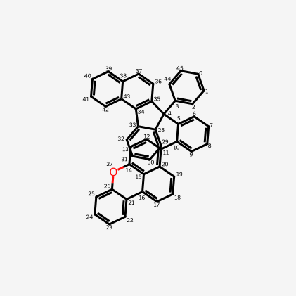 c1ccc(C2(c3ccccc3-c3ccc4c5c(cccc35)-c3ccccc3O4)c3ccccc3-c3c2ccc2ccccc32)cc1